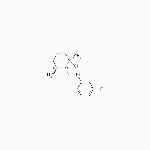 C[C@H]1CCCC(C)(C)[C@@H]1CNc1cccc(F)c1